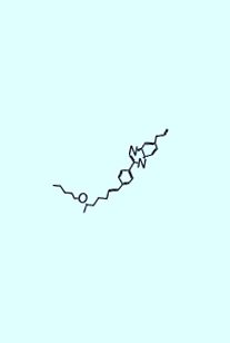 C=CCc1ccc2nc(-c3ccc(C=CCCCC(C)OCCCCC)cc3)cnc2c1